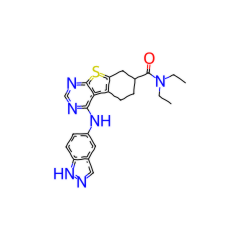 CCN(CC)C(=O)C1CCc2c(sc3ncnc(Nc4ccc5[nH]ncc5c4)c23)C1